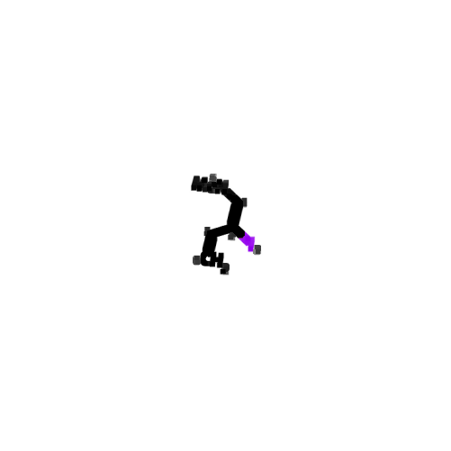 C=C/C(I)=C\NC